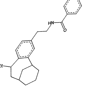 CCC1CC2CCCC(C2)c2cc(CCNC(=O)c3ccccc3)ccc21